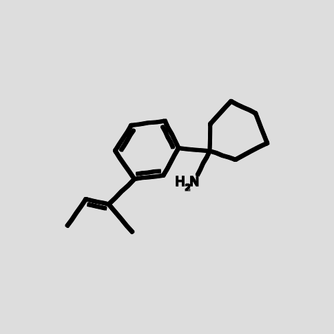 C/C=C(\C)c1cccc(C2(N)CCCCC2)c1